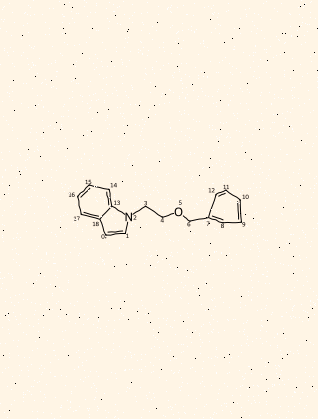 [c]1cn(CCOCc2ccccc2)c2ccccc12